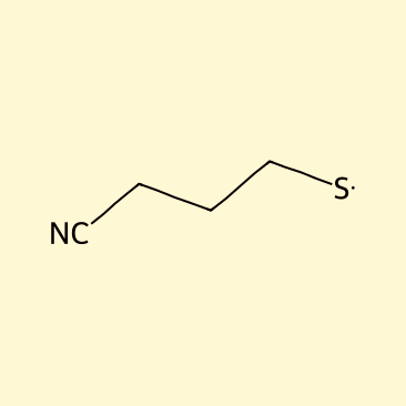 N#CCCC[S]